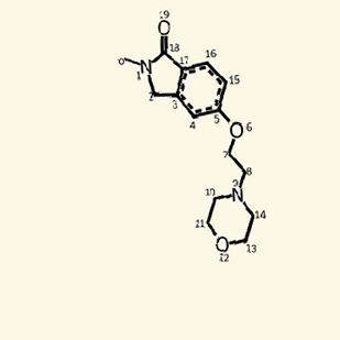 CN1Cc2cc(OCCN3CCOCC3)ccc2C1=O